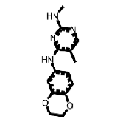 CNc1ncc(C)c(Nc2ccc3c(c2)OCCO3)n1